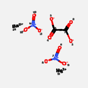 O=C([O-])C(=O)[O-].O=[N+]([O-])[O-].O=[N+]([O-])[O-].[Ba+2].[Mg+2]